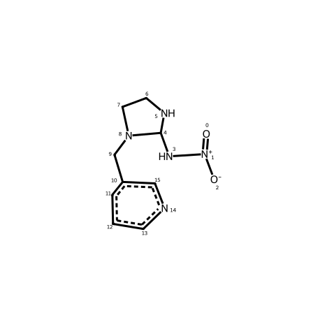 O=[N+]([O-])NC1NCCN1Cc1cccnc1